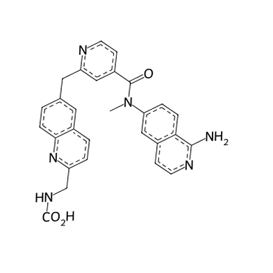 CN(C(=O)c1ccnc(Cc2ccc3nc(CNC(=O)O)ccc3c2)c1)c1ccc2c(N)nccc2c1